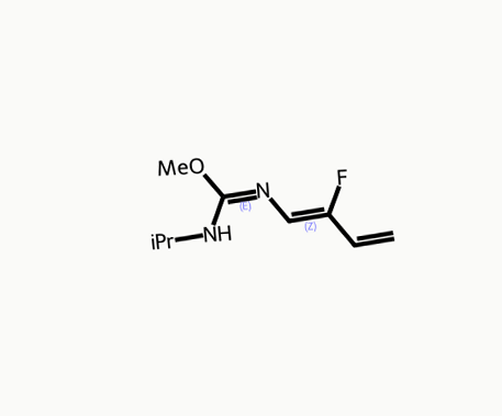 C=C/C(F)=C/N=C(\NC(C)C)OC